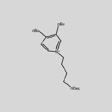 CCCCCCCCCCCCCC[n+]1ccc(CCCC)c(CCCC)c1